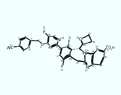 N#Cc1ccc(COc2nc(-c3cc(F)c(Cc4nc5ccc(C(=O)O)nc5n4CC4CCO4)cc3F)ncc2F)nc1